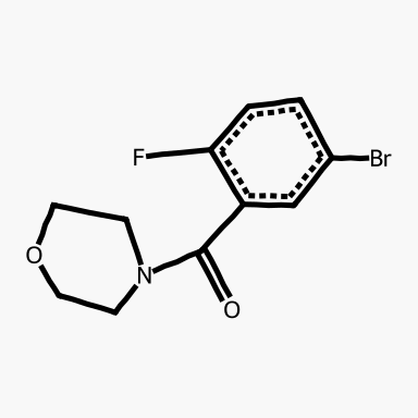 O=C(c1cc(Br)ccc1F)N1CCOCC1